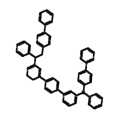 C1=C(c2ccc(-c3cccc(N(c4ccccc4)c4ccc(-c5ccccc5)cc4)c3)cc2)CCC=C1C(Cc1ccc(-c2ccccc2)cc1)c1ccccc1